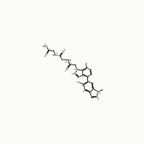 Cc1ccc(-c2cc3c(cnn3C)cc2F)c2cnn(CC(=O)NCC(=O)NCC(=O)O)c12